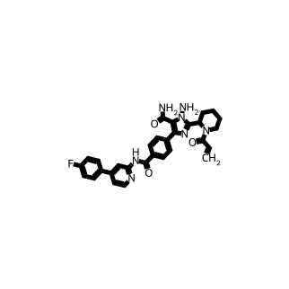 C=CC(=O)N1CCCCC1c1nc(-c2ccc(C(=O)Nc3cc(-c4ccc(F)cc4)ccn3)cc2)c(C(N)=O)n1N